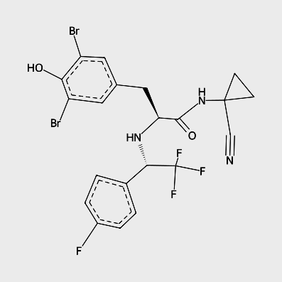 N#CC1(NC(=O)[C@H](Cc2cc(Br)c(O)c(Br)c2)N[C@@H](c2ccc(F)cc2)C(F)(F)F)CC1